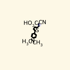 CN(C)c1ccc(-c2ccc(/C=C(/C#N)C(=O)O)s2)cc1